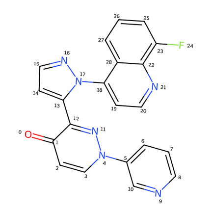 O=c1ccn(-c2cccnc2)nc1-c1ccnn1-c1ccnc2c(F)cccc12